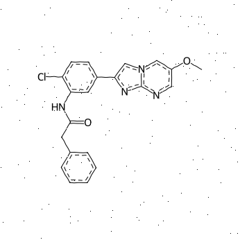 COc1cnc2nc(-c3ccc(Cl)c(NC(=O)Cc4ccccc4)c3)cn2c1